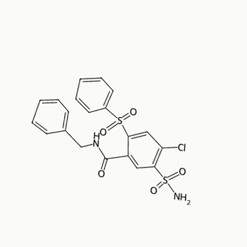 NS(=O)(=O)c1cc(C(=O)NCc2ccccc2)c(S(=O)(=O)c2ccccc2)cc1Cl